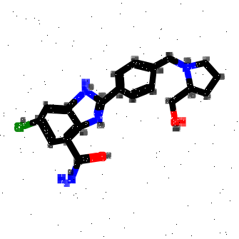 NC(=O)c1cc(Cl)cc2[nH]c(-c3ccc(CN4CCCC4CO)cc3)nc12